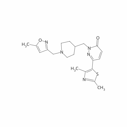 Cc1cc(CN2CCC(Cn3nc(-c4sc(C)nc4C)ccc3=O)CC2)no1